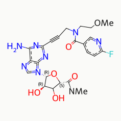 CNC(=O)[C@H]1O[C@@H](n2cnc3c(N)nc(C#CCN(CCOC)C(=O)c4ccc(F)nc4)nc32)[C@H](O)C1O